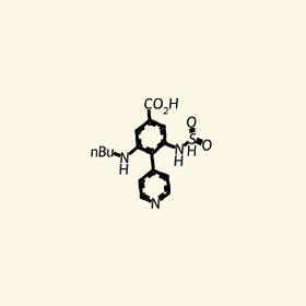 CCCCNc1cc(C(=O)O)cc(N[SH](=O)=O)c1-c1ccncc1